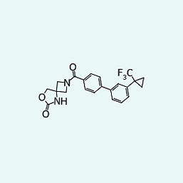 O=C1NC2(CO1)CN(C(=O)c1ccc(-c3cccc(C4(C(F)(F)F)CC4)c3)cc1)C2